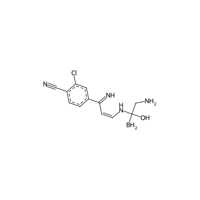 BC(O)(CN)N/C=C\C(=N)c1ccc(C#N)c(Cl)c1